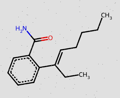 CCCCC=C(CC)c1ccccc1C(N)=O